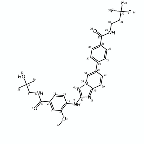 COc1cc(C(=O)NCC(C)(C)O)ccc1Nc1nc2ccc(-c3ccc(C(=O)NCCC(F)(F)F)cc3)cn2n1